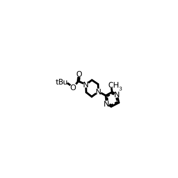 Cc1nccnc1N1CCN(C(=O)OC(C)(C)C)CC1